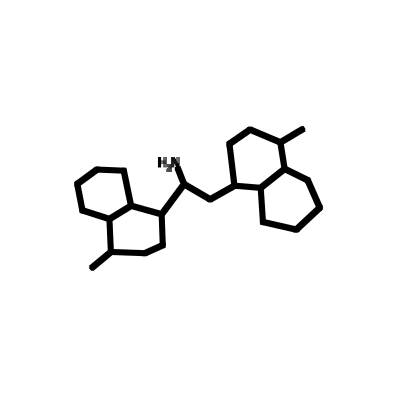 CC1CCC(CC(N)C2CCC(C)C3CCCCC32)C2CCCCC12